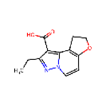 CCc1nn2ccc3c(c2c1C(=O)O)CCO3